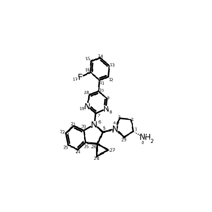 N[C@H]1CCN(C2N(c3ncc(-c4ccccc4F)cn3)c3c[c]ccc3C23CC3)C1